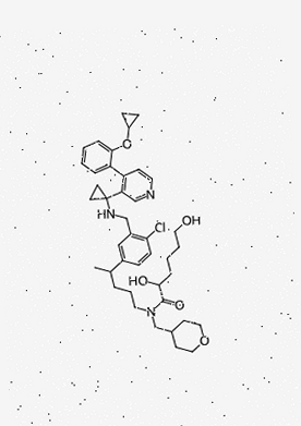 CC(CCCN(CC1CCOCC1)C(=O)C(O)CCCCO)c1ccc(Cl)c(CNC2(c3cnccc3-c3ccccc3OC3CC3)CC2)c1